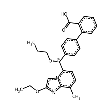 CCCO[C@H](c1ccc(-c2ccccc2C(=O)O)cc1)c1ccc(C)c2nc(OCC)cn12